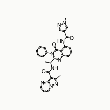 Cc1nn2cccnc2c1C(=O)N[C@@H](C)c1nc2cccc(NC(=O)c3cnn(C)c3)c2c(=O)n1-c1ccccc1